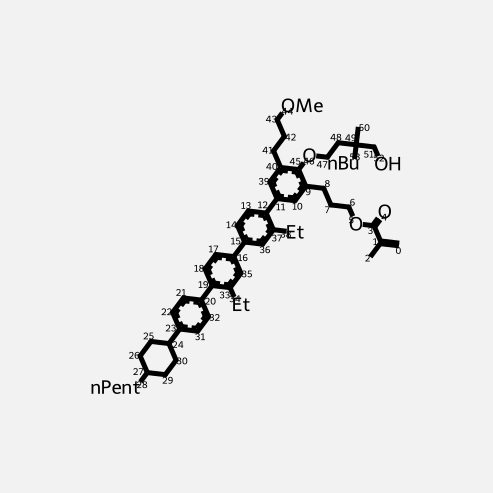 C=C(C)C(=O)OCCCc1cc(-c2ccc(-c3ccc(-c4ccc(C5CCC(CCCCC)CC5)cc4)c(CC)c3)cc2CC)cc(CCCOC)c1OCCC(C)(CO)CCCC